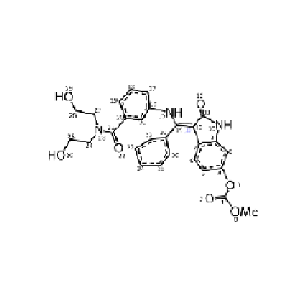 COC(=O)Oc1ccc2c(c1)NC(=O)/C2=C(\Nc1cccc(C(=O)N(CCO)CCO)c1)c1ccccc1